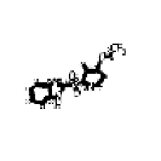 Cc1c(OCC(F)(F)F)ccnc1S(=O)(=O)c1nc2ccccc2[nH]1